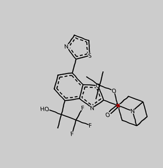 CC(C)(C)OC(=O)N1C2CC1CN(c1nc3c(C(C)(O)C(F)(F)F)ccc(-c4nccs4)c3o1)C2